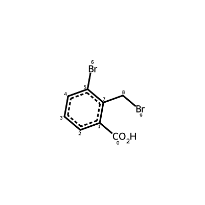 O=C(O)c1cccc(Br)c1CBr